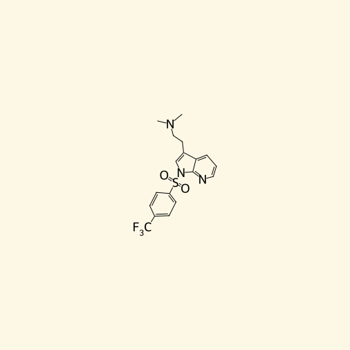 CN(C)CCc1cn(S(=O)(=O)c2ccc(C(F)(F)F)cc2)c2ncccc12